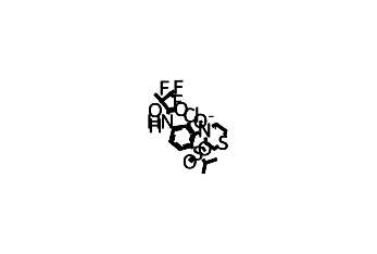 CC(C)S(=O)(=O)c1ccc(NC(=O)C(C)(O)C(F)(F)F)c(Cl)c1[N+]1([O-])CCSCC1